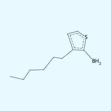 Bc1sccc1CCCCCC